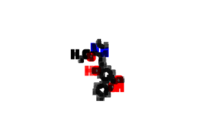 COc1nccnc1C#CC1(O)CC[C@@H](C(=O)O)[C@H](c2ccccc2)C1